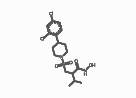 CC(C)C(CS(=O)(=O)N1CCC(c2ccc(Cl)cc2Cl)CC1)C(=O)NO